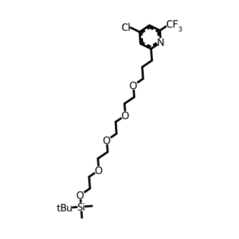 CC(C)(C)[Si](C)(C)OCCOCCOCCOCCOCCCc1cc(Cl)cc(C(F)(F)F)n1